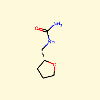 NC(=O)NC[C@H]1CCCO1